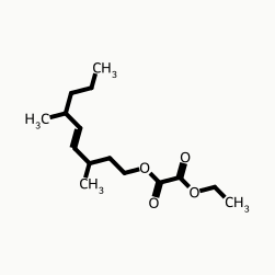 CCCC(C)C=CC(C)CCOC(=O)C(=O)OCC